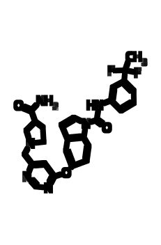 CC(F)(F)c1cccc(NC(=O)n2ccc3cc(Oc4cc(CN5CCC(C(N)=O)C5)ncn4)ccc32)c1